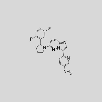 Nc1ccc(-c2cnc3ccc(N4CCCC4c4cc(F)ccc4F)nn23)nc1